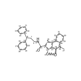 COc1c(C(=O)NCCC(c2ccccc2)c2ccccc2)sc2c1c(=O)n(C)c1ccccc21